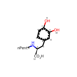 CCCCCN[C@@H](Cc1ccc(O)c(O)c1)C(=O)O